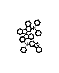 c1ccc(N(c2ccc3sc4ccccc4c3c2)c2cccc3c2-c2ccccc2C32c3ccccc3-c3c2cc(N(c2ccccc2)c2ccccc2)c2ccccc32)cc1